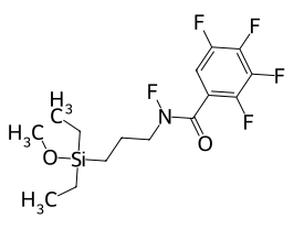 CC[Si](CC)(CCCN(F)C(=O)c1cc(F)c(F)c(F)c1F)OC